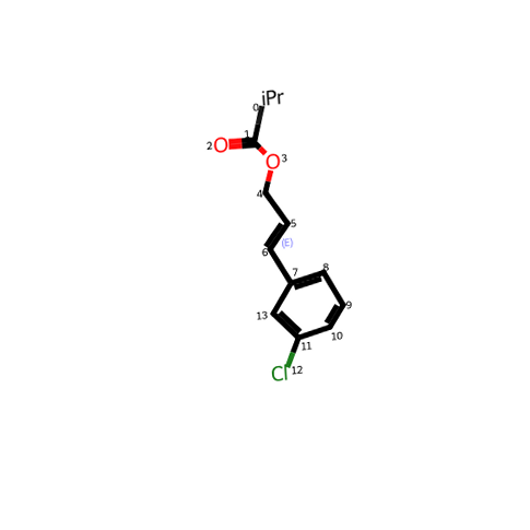 CC(C)C(=O)OC/C=C/c1cccc(Cl)c1